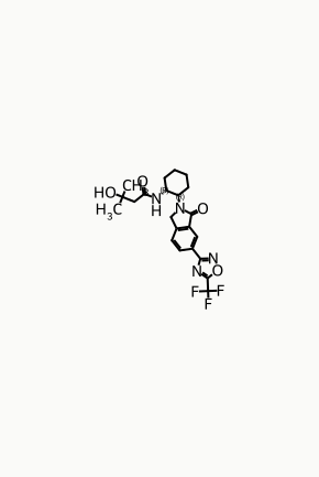 CC(C)(O)CC(=O)N[C@@H]1CCCC[C@H]1N1Cc2ccc(-c3noc(C(F)(F)F)n3)cc2C1=O